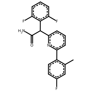 Cc1cc(F)ccc1-c1cccc(C(C(N)=O)c2c(F)cccc2F)n1